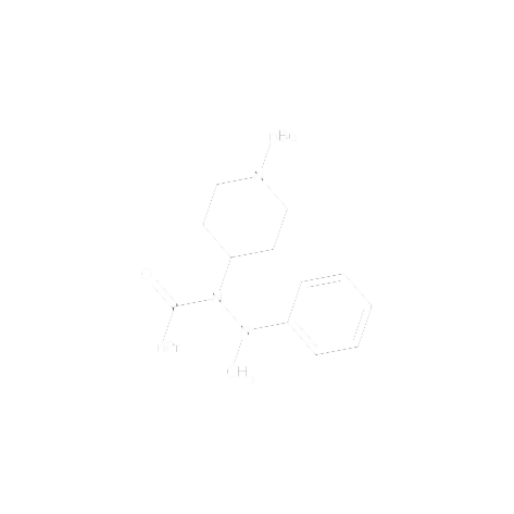 CCCCN1CCC(N(C(=O)CCC)N(C)c2ccccc2)CC1